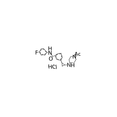 CC(=O)N1CCC(NC2CC2c2cccc(C(=O)Nc3ccc(F)cc3)c2)CC1.Cl